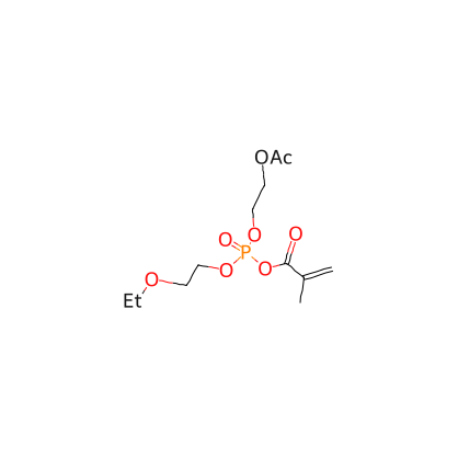 C=C(C)C(=O)OP(=O)(OCCOCC)OCCOC(C)=O